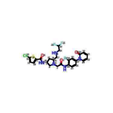 O=C(CN1C[C@H](NC(=O)c2ccc(Cl)s2)C[C@H]1CNCC(F)F)Nc1ccc(-n2ccccc2=O)cc1F